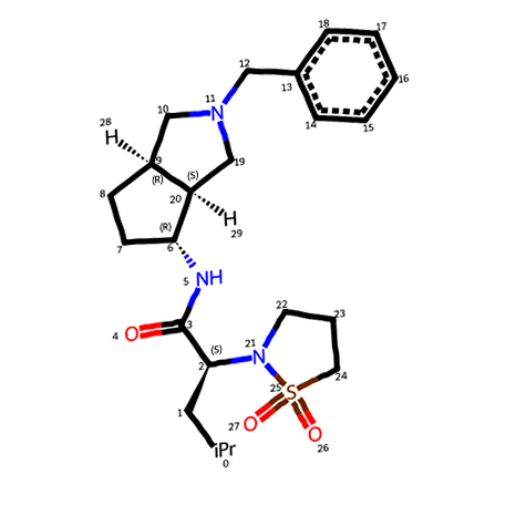 CC(C)C[C@@H](C(=O)N[C@@H]1CC[C@H]2CN(Cc3ccccc3)C[C@H]21)N1CCCS1(=O)=O